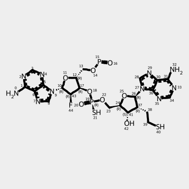 Nc1ncnc2c1ncn2[C@@H]1O[C@H](COP=O)[C@@H](O[P@](=O)(S)OC[C@H]2O[C@@H](n3cnc4c(N)ncnc43)[C@H](CCS)[C@@H]2O)[C@H]1F